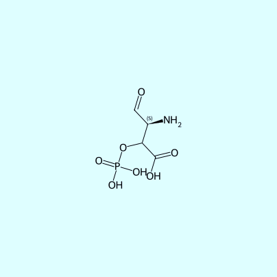 N[C@H](C=O)C(OP(=O)(O)O)C(=O)O